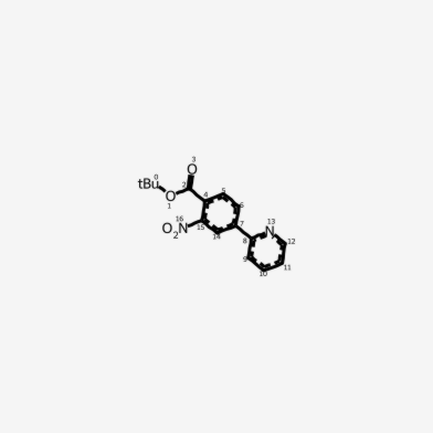 CC(C)(C)OC(=O)c1ccc(-c2ccccn2)cc1[N+](=O)[O-]